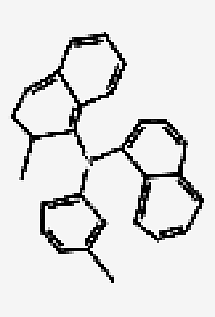 Cc1cccc(N(C2=c3ccccc3=CCC2C)c2cccc3ccccc23)c1